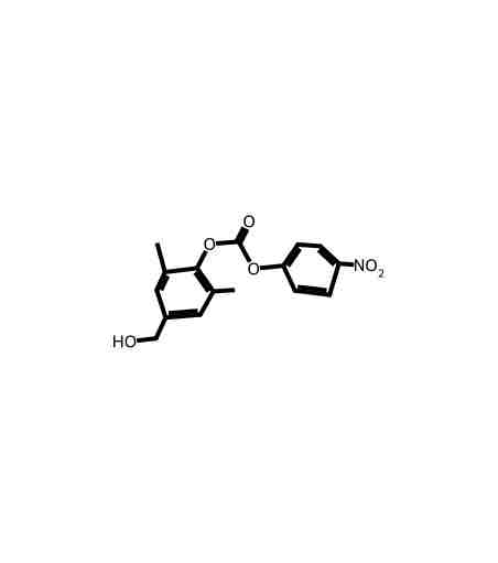 Cc1cc(CO)cc(C)c1OC(=O)Oc1ccc([N+](=O)[O-])cc1